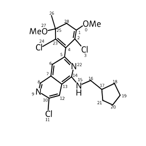 COC1=C(Cl)C(c2cc3cnc(Cl)cc3c(NCC3CCCC3)n2)=C(Cl)C(C)(OC)C1